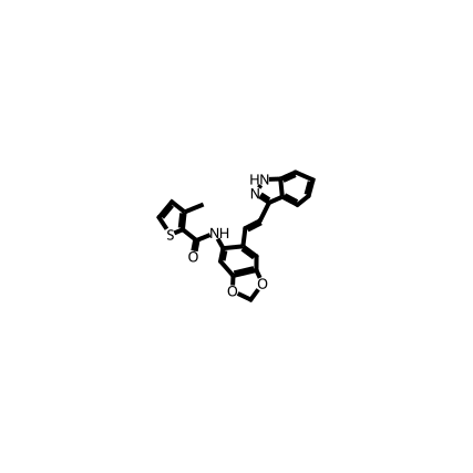 Cc1ccsc1C(=O)Nc1cc2c(cc1C=Cc1n[nH]c3ccccc13)OCO2